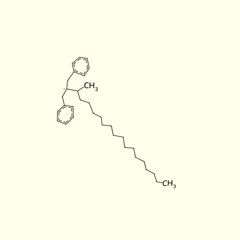 CCCCCCCCCCCCCCCCC(C)[C](Cc1ccccc1)Cc1ccccc1